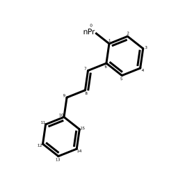 CCCc1ccccc1C=CCc1ccccc1